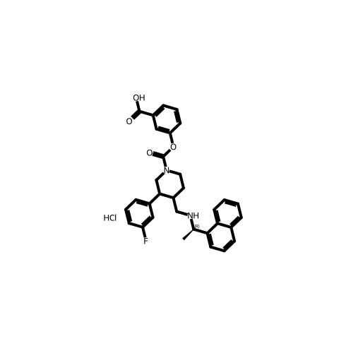 C[C@@H](NCC1CCN(C(=O)Oc2cccc(C(=O)O)c2)CC1c1cccc(F)c1)c1cccc2ccccc12.Cl